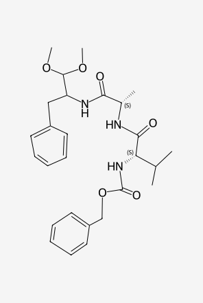 COC(OC)C(Cc1ccccc1)NC(=O)[C@H](C)NC(=O)[C@@H](NC(=O)OCc1ccccc1)C(C)C